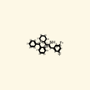 N[C@@H](Cc1cc(F)cc(F)c1)[C@H](O)C1CCCCN1C(c1ccccc1)c1ccccc1